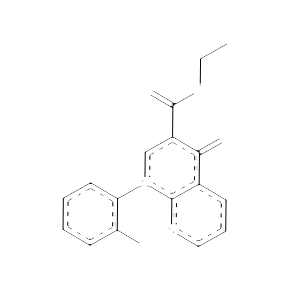 CCOC(=O)c1cn(-c2ccccc2Br)c2ncccc2c1=O